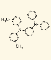 Cc1cccc(N(c2cccc(C)c2)c2cccc(N(c3ccccc3)c3ccccc3)c2)c1